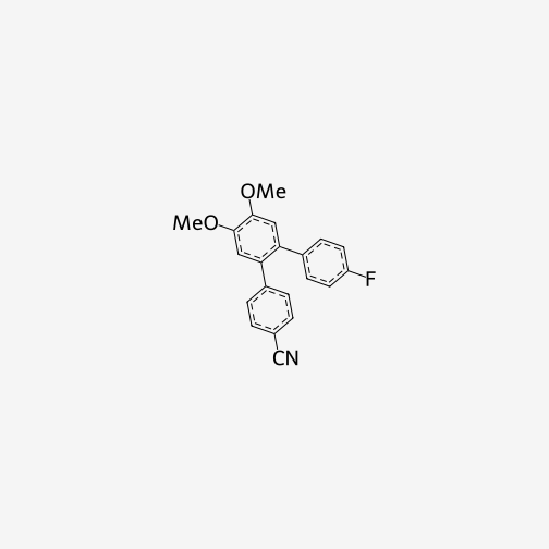 COc1cc(-c2ccc(F)cc2)c(-c2ccc(C#N)cc2)cc1OC